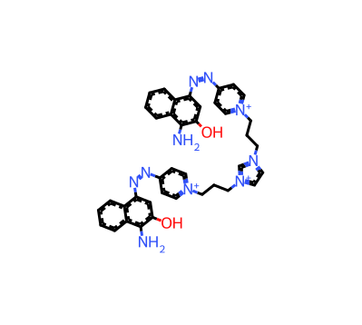 Nc1c(O)cc(/N=N\c2cc[n+](CCCn3cc[n+](CCC[n+]4ccc(/N=N\c5cc(O)c(N)c6ccccc56)cc4)c3)cc2)c2ccccc12